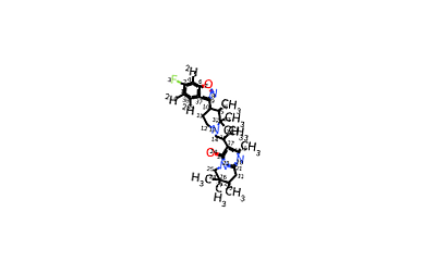 [2H]c1c(F)c([2H])c2onc(C3CCN(CC(C)c4c(C)nc5n(c4=O)CC(C)(C)C(C)C5)C(C)(C)C3C)c2c1[2H]